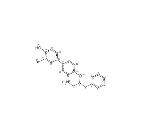 NCC(Cc1ccccc1)Oc1ccc(-c2ccc(O)c(Br)c2)cc1